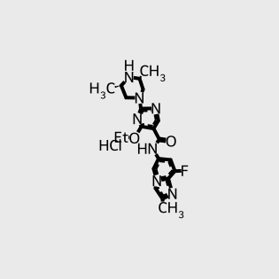 CCOc1nc(N2C[C@@H](C)N[C@@H](C)C2)ncc1C(=O)Nc1cc(F)c2nc(C)cn2c1.Cl